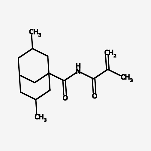 C=C(C)C(=O)NC(=O)C12CC(C)CC(CC(C)C1)C2